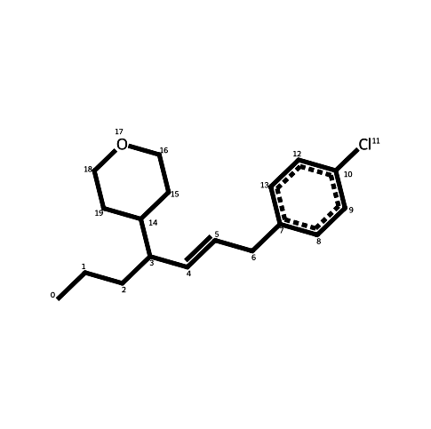 CCC[C](C=CCc1ccc(Cl)cc1)C1CCOCC1